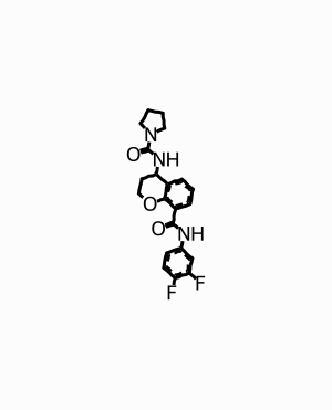 O=C(Nc1ccc(F)c(F)c1)c1cccc2c1OCCC2NC(=O)N1CCCC1